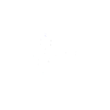 Fc1cc(F)c(C2=CCNCC2)c(OCc2ccccc2)c1